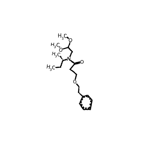 CC[C@@H](C)N(CC(OC)OC)C(=O)CCOCCc1ccccc1